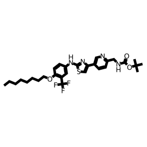 CCCCCCCCOc1ccc(Nc2nc(-c3ccc(CNC(=O)OC(C)(C)C)nc3)cs2)cc1C(F)(F)F